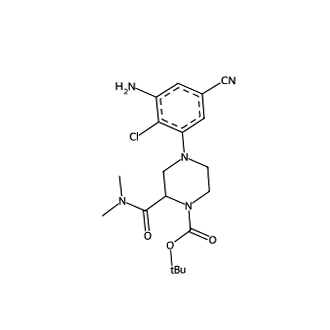 CN(C)C(=O)C1CN(c2cc(C#N)cc(N)c2Cl)CCN1C(=O)OC(C)(C)C